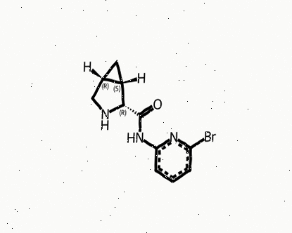 O=C(Nc1cccc(Br)n1)[C@@H]1NC[C@@H]2C[C@@H]21